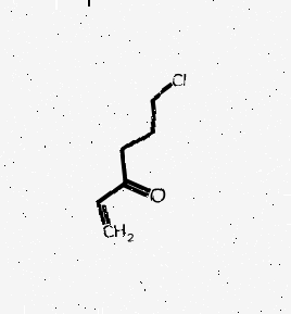 C=CC(=O)CCCCl